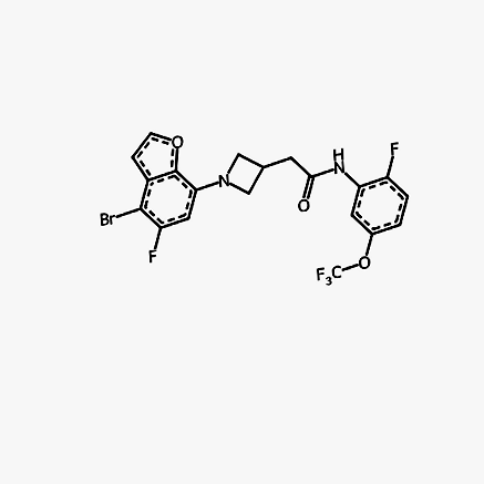 O=C(CC1CN(c2cc(F)c(Br)c3ccoc23)C1)Nc1cc(OC(F)(F)F)ccc1F